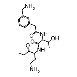 CCC(=O)[C@H](CCN)NC(=O)[C@@H](NC(=O)Cc1cccc(CN)c1)C(C)O